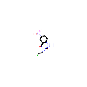 O=c1[nH]c2ccc([N+](=O)[O-])cc2c(=O)n1CCCl